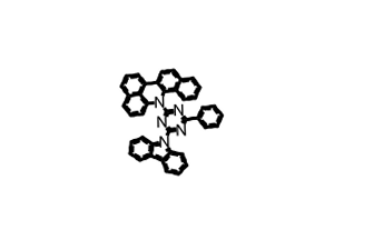 c1ccc(-c2nc(N3c4c(ccc5ccccc45)-c4cccc5cccc3c45)nc(-n3c4ccccc4c4ccccc43)n2)cc1